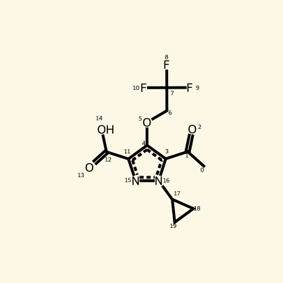 CC(=O)c1c(OCC(F)(F)F)c(C(=O)O)nn1C1CC1